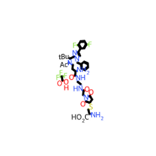 CC(=O)N(CCC(N)C(=O)NCCNC(=O)CN1C(=O)CC(SCC(N)C(=O)O)C1=O)C(c1nc(-c2cc(F)ccc2F)cn1Cc1ccccc1)C(C)(C)C.O=C(O)C(F)(F)F